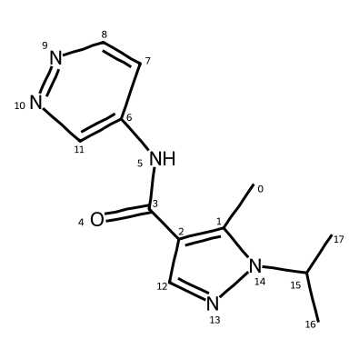 Cc1c(C(=O)Nc2ccnnc2)cnn1C(C)C